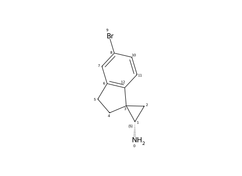 N[C@H]1CC12CCc1cc(Br)ccc12